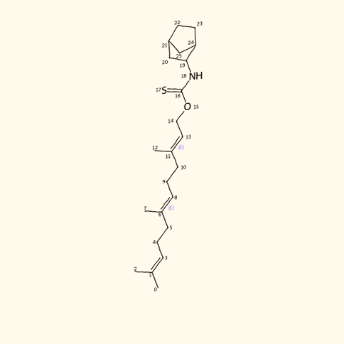 CC(C)=CCC/C(C)=C/CC/C(C)=C/COC(=S)NC1CC2CCC1C2